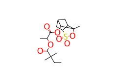 CCC(C)(C)C(=O)OC(C)C(=O)OC1C2CC3C(C2)S(=O)(=O)OC31C